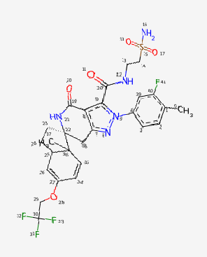 Cc1ccc(-n2nc3c(c2C(=O)NCCS(N)(=O)=O)C(=O)N[C@@]2(CCC4C=C(OCC(F)(F)F)C=CC42C)C3)cc1F